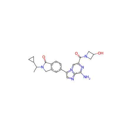 CC(C1CC1)N1Cc2cc(-c3cnc4c(N)nc(C(=O)N5CC(O)C5)cn34)ccc2C1=O